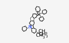 CC(C)(C)c1ccc2c(c1)c1cc3c(cc1n2-c1ccccc1)Cc1ccc([Si](c2ccccc2)(c2ccccc2)c2ccccc2)cc1-3